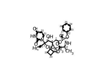 C#C[C@@](O)([C@H](O)[C@@H](COP(=O)(N[C@@H](C)C(=O)OC1CCC1)Oc1ccccc1)OC)n1ccc(=O)[nH]c1=O